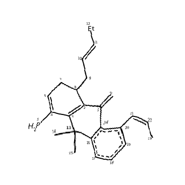 C=C1C2=C(C(P)=CCC2CC=CCC)C(C)(C)c2cccc(/C=C\C)c21